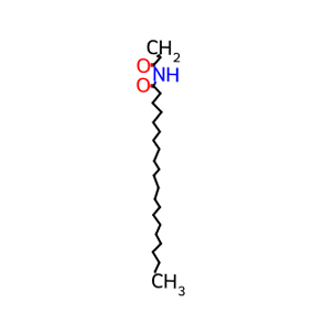 C=CC(=O)NC(=O)CCCCCCCCCCCCCCCCCCCCC